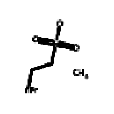 C.CCCCCS([O])(=O)=O